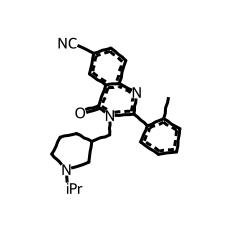 Cc1ccccc1-c1nc2ccc(C#N)cc2c(=O)n1CC1CCCN(C(C)C)C1